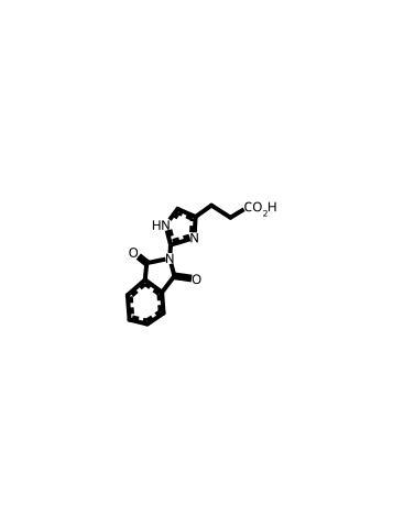 O=C(O)CCc1c[nH]c(N2C(=O)c3ccccc3C2=O)n1